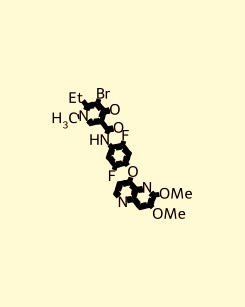 CCc1c(Br)c(=O)c(C(=O)Nc2cc(F)c(Oc3ccnc4cc(OC)c(OC)nc34)cc2F)cn1C